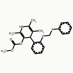 COC(=O)OC1=C(C)NC(C)=C(C)C1c1ccccc1OCSc1ccccc1